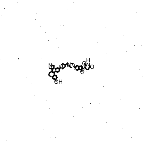 O=C1CCC(N2Cc3cc(N4CCN(CC5CCN(c6ccc(C7=C(c8cccnc8)CCCc8cc(O)ccc87)cc6)CC5)CC4)ccc3C2=O)C(=O)N1